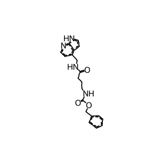 O=C(CCCNC(=O)OCc1ccccc1)NCc1ccnc2[nH]ccc12